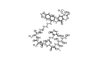 CC[C@@]1(O)C(=O)OCc2c1cc1n(c2=O)Cc2c-1nc1cc3c(cc1c2CCCCOCNC(=O)[C@H](C)NC(=O)[C@H](C)NC(=O)[C@H](CCC(=O)N(C)C[C@H](O)[C@@H](O)[C@H](O)[C@H](O)CO)NC(=O)CCN1C(=O)C=CC1=O)OCO3